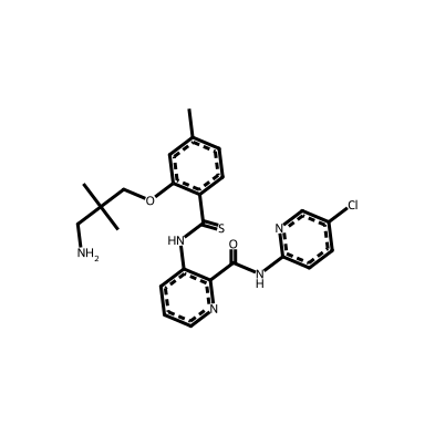 Cc1ccc(C(=S)Nc2cccnc2C(=O)Nc2ccc(Cl)cn2)c(OCC(C)(C)CN)c1